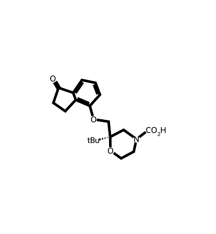 CC(C)(C)[C@]1(COc2cccc3c2CCC3=O)CN(C(=O)O)CCO1